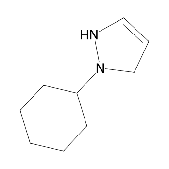 C1=CNN(C2CCCCC2)C1